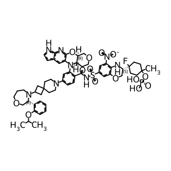 CC(C)Oc1ccccc1[C@@H]1COCCCN1C1CC2(CCN(c3ccc(C(=O)NS(=O)(=O)c4cc5c(c([N+](=O)[O-])c4)N[C@H](C4(F)CCC(C)(OP(=O)(O)O)CC4)CO5)c(N4c5cc6cc[nH]c6nc5O[C@H]5COCC[C@@H]54)c3)CC2)C1